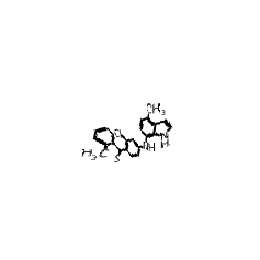 Cc1ccccc1C(=S)c1ccc(Nc2ccc(C)c3cc[nH]c23)cc1Cl